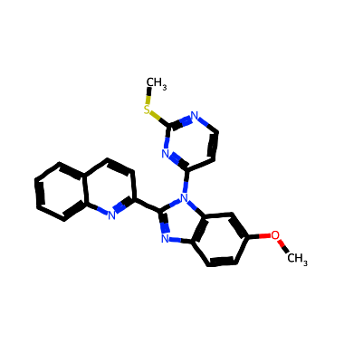 COc1ccc2nc(-c3ccc4ccccc4n3)n(-c3ccnc(SC)n3)c2c1